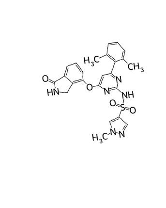 Cc1cccc(C)c1-c1cc(Oc2cccc3c2CNC3=O)nc(NS(=O)(=O)c2cnn(C)c2)n1